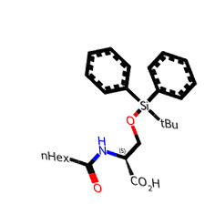 CCCCCCC(=O)N[C@@H](CO[Si](c1ccccc1)(c1ccccc1)C(C)(C)C)C(=O)O